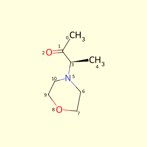 CC(=O)[C@@H](C)N1CCOCC1